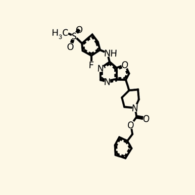 CS(=O)(=O)c1ccc(Nc2ncnc3c(C4CCN(C(=O)OCc5ccccc5)CC4)coc23)c(F)c1